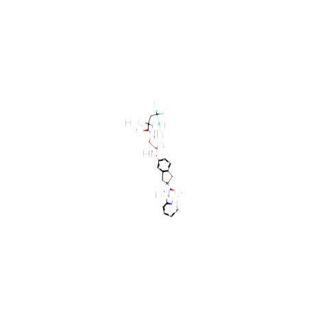 CC(C)(CC(F)(F)F)C(=O)NCC(=O)Nc1ccc2c(c1)C[C@H](C(=O)Nc1ccccn1)C2